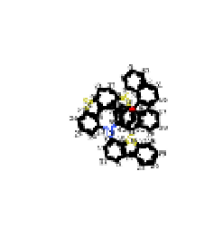 c1ccc2c(-c3ccc(N(c4cccc5c4sc4ccccc45)c4cccc5sc6ccc7sc8c9ccccc9ccc8c7c6c45)cc3)cccc2c1